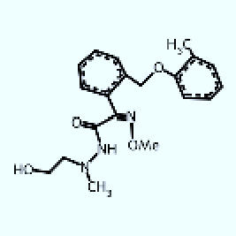 CON=C(C(=O)NN(C)CCO)c1ccccc1COc1ccccc1C